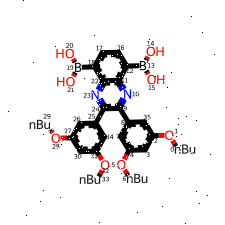 CCCCOc1cc(OCCCC)cc(-c2nc3c(B(O)O)ccc(B(O)O)c3nc2-c2cc(OCCCC)cc(OCCCC)c2)c1